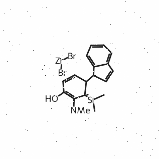 CNC1=C(O)C=CC(C2C=Cc3ccccc32)C1=[Si](C)C.[Br][Zr][Br]